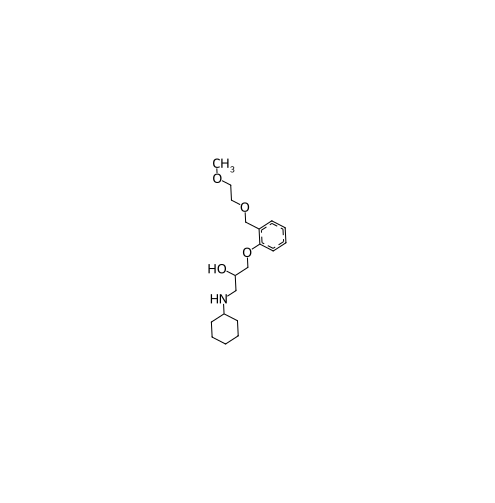 COCCOCc1ccccc1OCC(O)CNC1CCCCC1